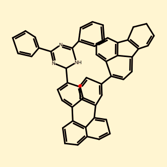 C1=CC2=C(CC1)c1cccc3c(-c4cccc(-c5cccc6cccc(-c7ccc(C8N=C(c9ccccc9)N=C(c9ccccc9)N8)cc7)c56)c4)ccc2c13